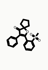 CS(=O)(=O)c1ccccc1C1=C(c2ccccc2)C(=O)C2(CCCC2)O1